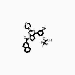 O=C(O)C(F)(F)F.O=C(c1ccc2ccccc2c1)N1CCc2c(-c3cccc(O)c3)nc(N3CCOCC3)nc21